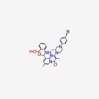 Cc1cc(C(C)Nc2ccccc2C(=O)O)c2nc(N3CCN(c4ccc(C#N)cc4)CC3C)c(C)c(=O)n2c1